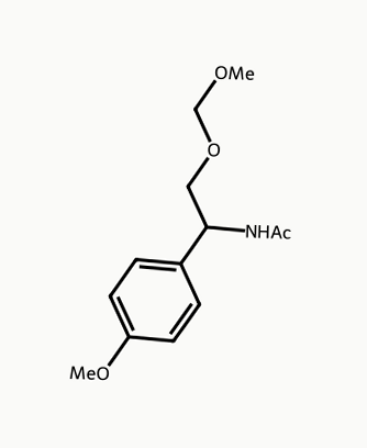 COCOCC(NC(C)=O)c1ccc(OC)cc1